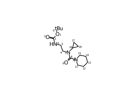 CC(C)(C)OC(=O)NCCN(C(=O)N1CCCCC1)C1CC1